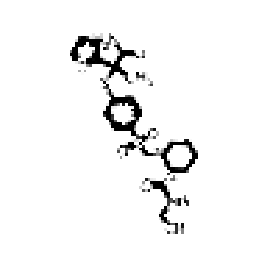 CC(Sc1ccc(S(=O)(=O)C[C@H]2CCCC[C@@H]2C(=O)NCC#N)cc1)(C(N)=O)c1ccco1